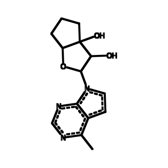 Cc1ncnc2c1ccn2C1OC2CCCC2(O)C1O